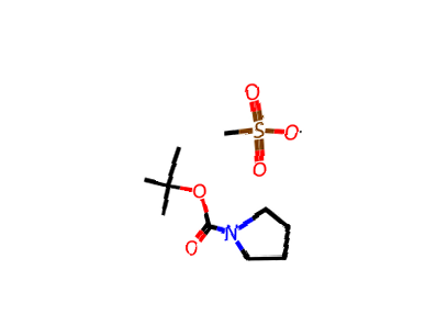 CC(C)(C)OC(=O)N1CCCC1.CS([O])(=O)=O